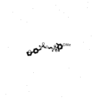 COc1cc(C)c(S(=O)(=O)N(C)CCOCC(=O)N(C)Cc2ccc(-c3ccco3)cc2)c(C)c1